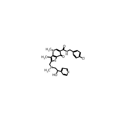 Cc1c(CN(C)CC(O)c2ccncc2)sc2c(=O)c(C(=O)NCc3ccc(Cl)cc3)cn(C)c12